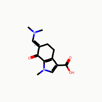 CN(C)/C=C1\CCc2c(C(=O)O)cn(C)c2C1=O